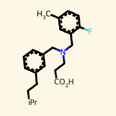 Cc1ccc(F)c(CN(CCC(=O)O)Cc2cccc(CCC(C)C)c2)c1